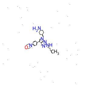 CCCCNc1ncc2c(-c3ccc(N4CCOCC4)cc3)cn(C=C3CCC(N)CC3)c2n1